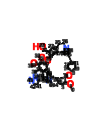 COc1ccc2cc1Oc1ccc(cc1)C[C@H]1c3cc(c(CO)cc3CCN1C)Oc1c(OC)c(OC)c(Cn3cccn3)c3c1[C@H](C2)N(C)CC3